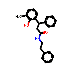 Cc1cccc(C(CC(=O)NCCc2ccccc2)c2ccccc2)c1O